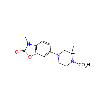 Cn1c(=O)oc2cc(N3CCN(C(=O)O)C(C)(C)C3)ccc21